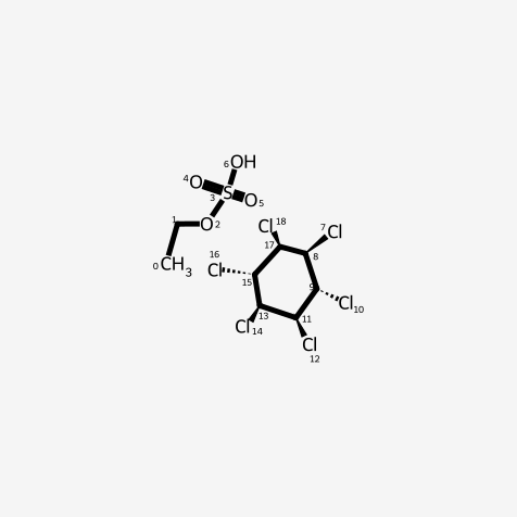 CCOS(=O)(=O)O.Cl[C@H]1[C@H](Cl)[C@@H](Cl)[C@@H](Cl)[C@H](Cl)[C@H]1Cl